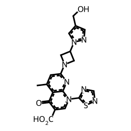 Cc1cc(N2CC(n3cc(CO)cn3)C2)nc2c1c(=O)c(C(=O)O)cn2-c1ncns1